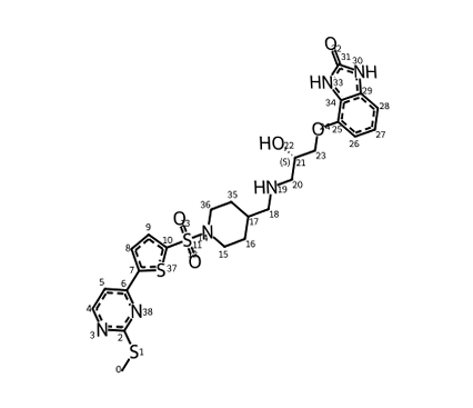 CSc1nccc(-c2ccc(S(=O)(=O)N3CCC(CNC[C@H](O)COc4cccc5[nH]c(=O)[nH]c45)CC3)s2)n1